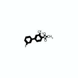 CS(=O)(=O)c1ccc(-c2[c]ccc(F)c2)cc1C(F)(F)F